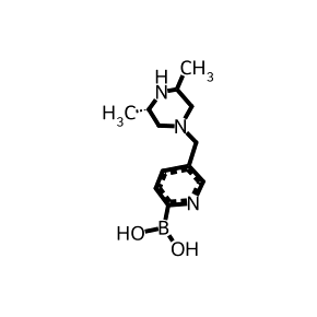 CC1CN(Cc2ccc(B(O)O)nc2)C[C@H](C)N1